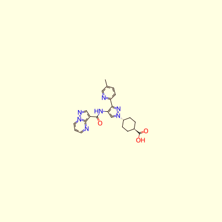 Cc1ccc(-c2nn([C@H]3CC[C@H](C(=O)O)CC3)cc2NC(=O)c2cnn3cccnc23)nc1